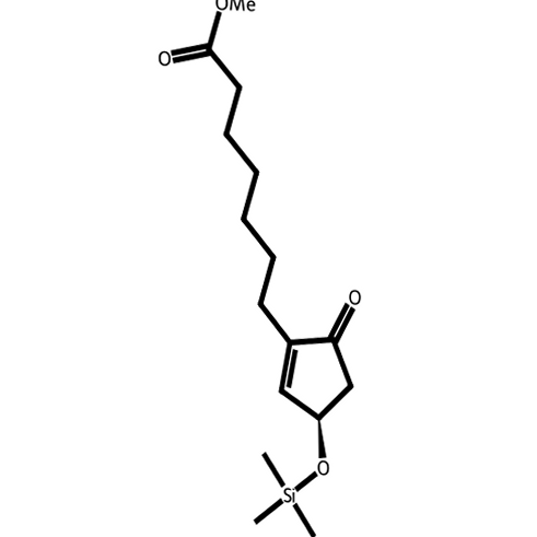 COC(=O)CCCCCCC1=C[C@H](O[Si](C)(C)C)CC1=O